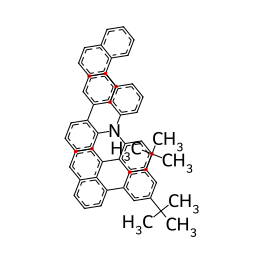 CC(C)(C)c1cc(-c2cccc3cccc(-c4ccccc4N(c4cccc(-c5cccc6ccccc56)c4)c4ccccc4-c4ccccc4)c23)cc(C(C)(C)C)c1